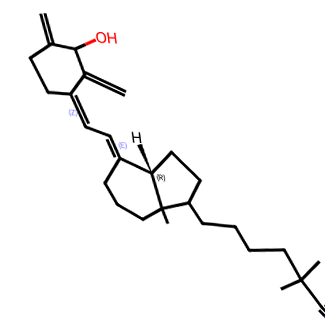 C=C1CC/C(=C/C=C2\CCCC3(C)C(CCCCC(C)(C)C#N)CC[C@@H]23)C(=C)C1O